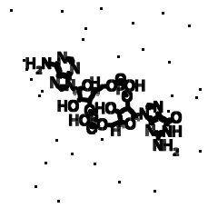 Nc1nc2c(ncn2[C@@H]2O[C@@H]3COP(=O)(O)OC4C(O)[C@H](n5cnc6c(N)ncnc65)O[C@@H]4COP(=O)(O)OC2C3O)c(=O)[nH]1